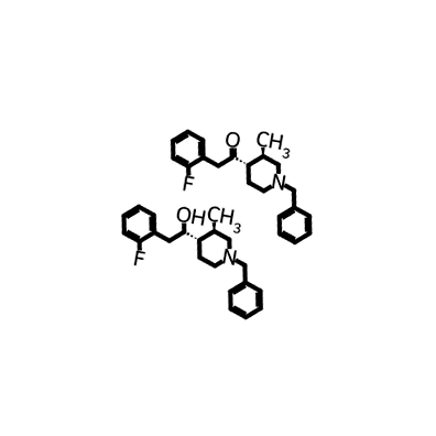 C[C@H]1CN(Cc2ccccc2)CC[C@@H]1C(=O)Cc1ccccc1F.C[C@H]1CN(Cc2ccccc2)CC[C@@H]1C(O)Cc1ccccc1F